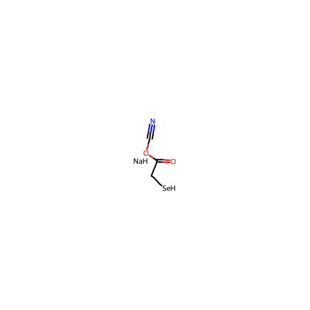 N#COC(=O)C[SeH].[NaH]